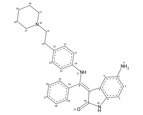 Nc1ccc2c(c1)C(=C(Nc1ccc(CCN3CCCCC3)cc1)c1ccccc1)C(=O)N2